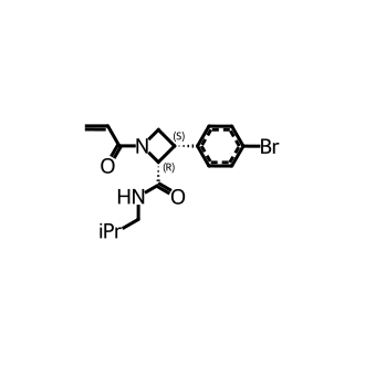 C=CC(=O)N1C[C@H](c2ccc(Br)cc2)[C@@H]1C(=O)NCC(C)C